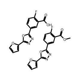 COC(=O)c1cc(-c2nnc(-c3ccco3)o2)ccc1F.O=C(O)c1cc(-c2nnc(-c3ccco3)o2)ccc1F